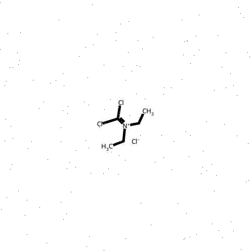 CC[N+](CC)=C(Cl)Cl.[Cl-]